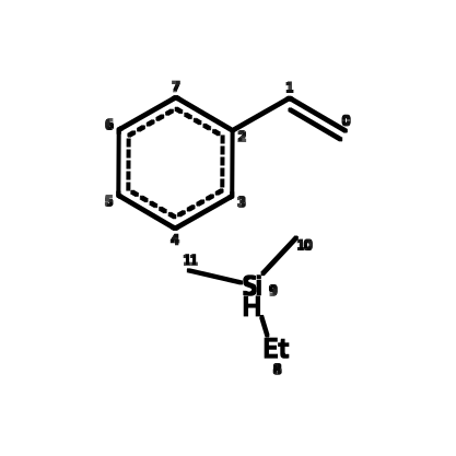 C=Cc1ccccc1.CC[SiH](C)C